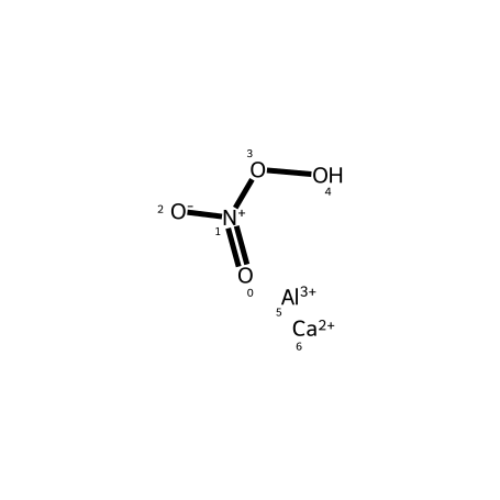 O=[N+]([O-])OO.[Al+3].[Ca+2]